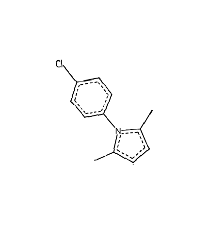 Cc1[c]cc(C)n1-c1ccc(Cl)cc1